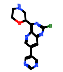 Clc1nc(C2CNCCO2)c2ncc(-c3cncnc3)cc2n1